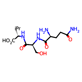 CC(C)[C@H](NC(=O)[C@H](CO)NC(=O)[C@@H](N)CCC(N)=O)C(=O)O